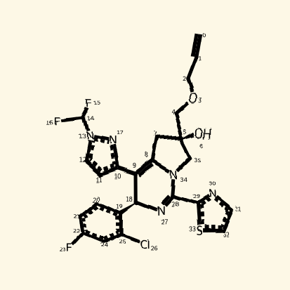 C=CCOC[C@@]1(O)CC2=C(c3ccn(C(F)F)n3)[C@H](c3ccc(F)cc3Cl)N=C(c3nccs3)N2C1